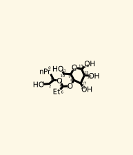 CCCC(CO)OC(CC)OC1C(CO)OC(O)C(O)C1O